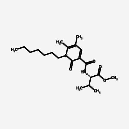 CCCCCCCn1c(C)c(C)cc(C(=O)N[C@H](C(=O)OC)C(C)C)c1=O